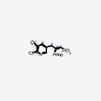 CN/C(=C\[N+](=O)[O-])Cc1cnc(Cl)c(Cl)c1